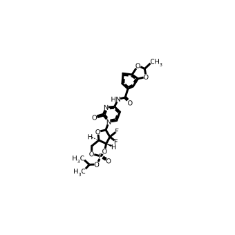 CC(C)OP1(=O)OC[C@H]2OC(n3ccc(NC(=O)c4ccc5c(c4)OC(C)O5)nc3=O)C(F)(F)[C@@H]2O1